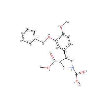 COC(=O)[C@H]1CN(C(=O)OC)C[C@@H]1c1ccc(OC)c(OCc2ccccc2)c1